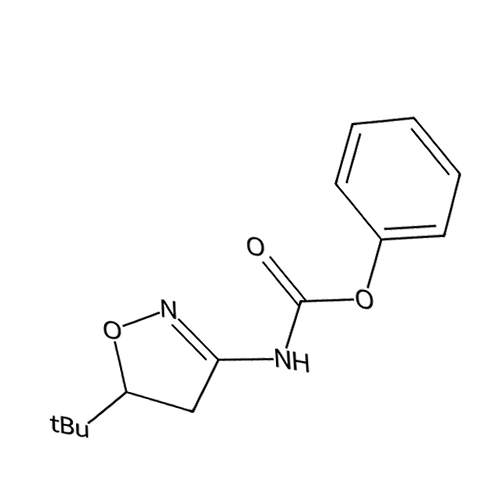 CC(C)(C)C1CC(NC(=O)Oc2ccccc2)=NO1